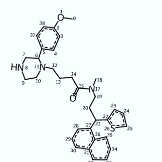 COc1ccc(C2CNCCN2CCCC(=O)N(C)CCC(c2cccs2)c2cccc3ccccc23)cc1